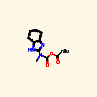 CCCCC(=O)OC(=O)N(C)c1nc2ccccc2[nH]1